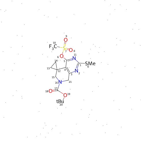 CSc1nc2c(c(OS(=O)(=O)C(F)(F)F)n1)C1(CC1)CN(C(=O)OC(C)(C)C)C2